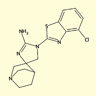 NC1=NC2(CN3CCC2CC3)CN1c1nc2c(Cl)cccc2s1